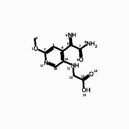 COc1cc(C(=N)C(N)=O)c(NCC(=O)O)cn1